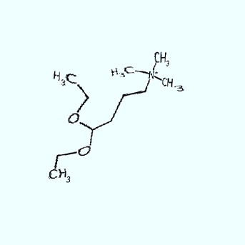 CCOC(CCC[N+](C)(C)C)OCC